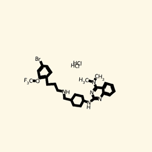 CN(C)c1nc(NC2CCC(CNCCCc3ccc(Br)cc3OC(F)(F)F)CC2)nc2ccccc12.Cl.Cl